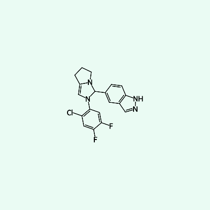 Fc1cc(Cl)c(N2C=C3CCCN3C2c2ccc3[nH]ncc3c2)cc1F